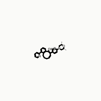 CO/C1=C(c2ccc(N3C[C@@H](C)O[C@@H](C)C3)nc2)/C=C\CCCc2c1cccc2-c1ccccn1